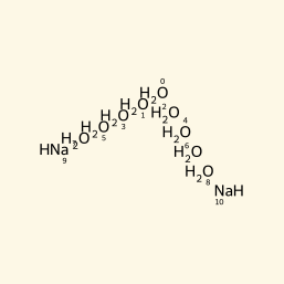 O.O.O.O.O.O.O.O.O.[NaH].[NaH]